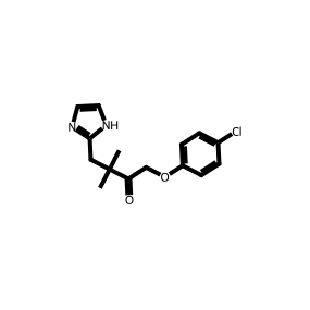 CC(C)(Cc1ncc[nH]1)C(=O)COc1ccc(Cl)cc1